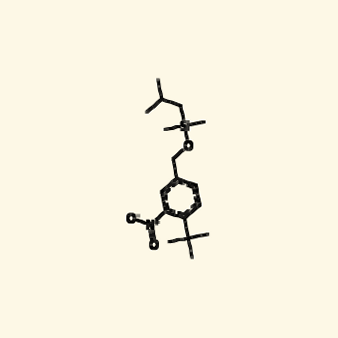 CC(C)C[Si](C)(C)OCc1ccc(C(C)(C)C)c([N+](=O)[O-])c1